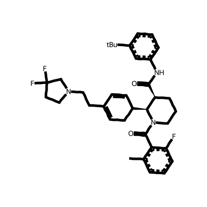 Cc1cccc(F)c1C(=O)N1CCC[C@H](C(=O)Nc2cccc(C(C)(C)C)c2)[C@@H]1C1C=CC(CCN2CCC(F)(F)C2)=CC1